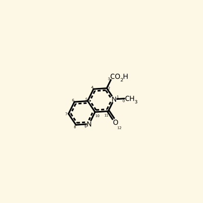 Cn1c(C(=O)O)cc2cccnc2c1=O